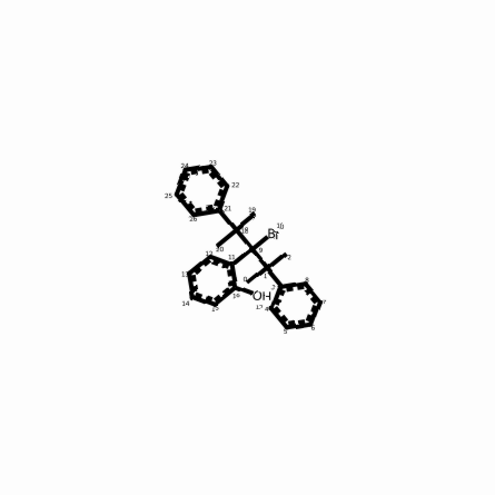 CC(C)(c1ccccc1)C(Br)(c1ccccc1O)C(C)(C)c1ccccc1